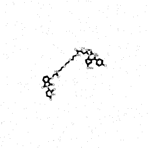 COc1ccc(-n2c(C)nnc2C[C@@H](C)C(=O)NCCOCCOCCNC(=O)COc2cccc3c2C(=O)N(C2CCC(=O)NC2=O)C3=O)c(C(=N)c2ccc(Cl)cc2)c1